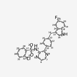 O=S(=O)(Nc1nccnc1-c1ccc(Cc2c[nH]c3ccc(F)cc23)cc1)c1ccccc1Cl